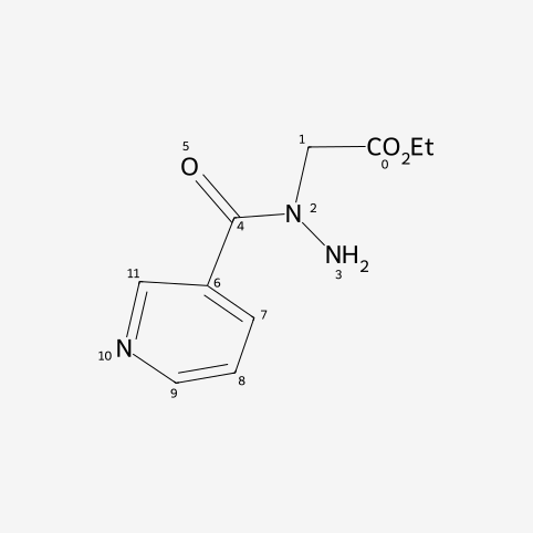 CCOC(=O)CN(N)C(=O)c1cccnc1